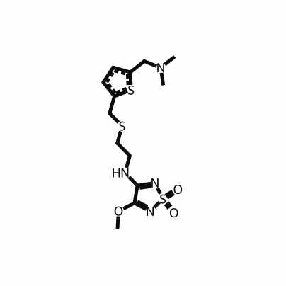 COC1=NS(=O)(=O)N=C1NCCSCc1ccc(CN(C)C)s1